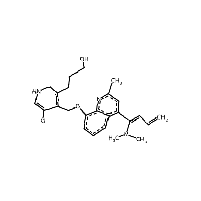 C=C/C=C(/c1cc(C)nc2c(OCC3=C(CCCO)CNC=C3Cl)cccc12)N(C)C